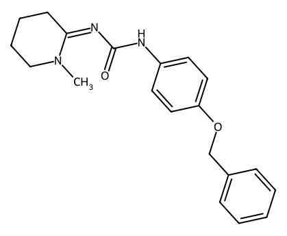 CN1CCCCC1=NC(=O)Nc1ccc(OCc2ccccc2)cc1